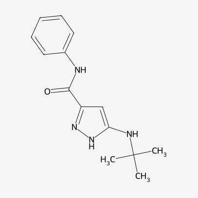 CC(C)(C)Nc1cc(C(=O)Nc2ccccc2)n[nH]1